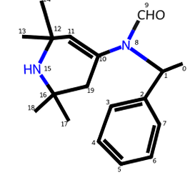 CC(c1ccccc1)N(C=O)C1=CC(C)(C)NC(C)(C)C1